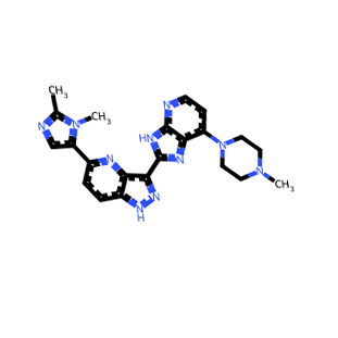 Cc1ncc(-c2ccc3[nH]nc(-c4nc5c(N6CCN(C)CC6)ccnc5[nH]4)c3n2)n1C